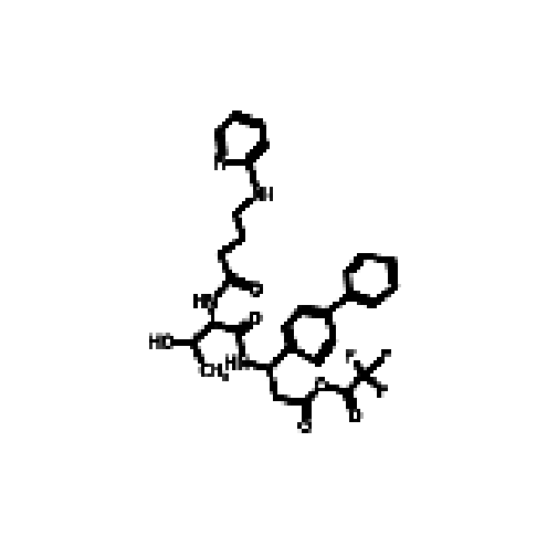 CC(O)[C@@H](NC(=O)CCCNc1ccccn1)C(=O)NC(CC(=O)OC(=O)C(F)(F)F)c1ccc(-c2ccccc2)cc1